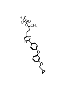 CC(CCc1cnc(-c2ccc(Oc3cccc(OCC4CC4)c3)cc2)o1)OS(C)(=O)=O